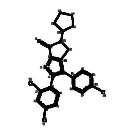 O=C1c2nn(-c3ccc(Cl)cc3Cl)c(-c3ccc(Cl)cc3)c2CN1C1CCCC1